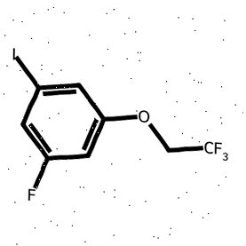 Fc1cc(I)cc(OCC(F)(F)F)c1